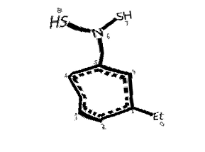 CCc1cccc(N(S)S)c1